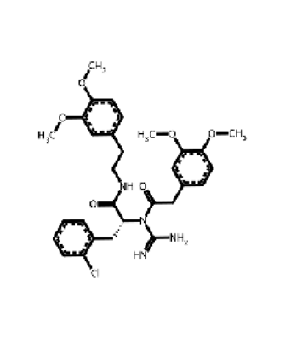 COc1ccc(CCNC(=O)[C@@H](Cc2ccccc2Cl)N(C(=N)N)C(=O)Cc2ccc(OC)c(OC)c2)cc1OC